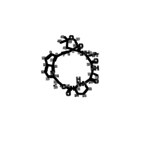 CC(C)[C@@H]1NC(=O)[C@@]2(/C=C/c3ccc4ccc(nc4c3)[C@@H](C)OC(=O)[C@@H]3CCCN(N3)C(=O)[C@H](C)NC1=O)CCOC(C)(C)C2